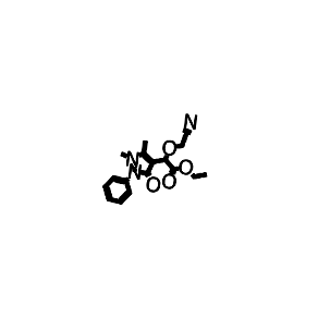 CCOC(=O)C(OCC#N)c1c(C)n(C)n(-c2ccccc2)c1=O